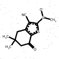 C[S+]([O-])c1sc2c(c1C#N)CC(C)(C)CC2=O